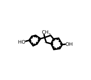 CC1(c2ccc(O)cc2)[CH]c2ccc(O)cc2C1